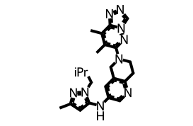 Cc1cc(Nc2cnc3c(c2)CN(c2nn4cnnc4c(C)c2C)CC3)n(CC(C)C)n1